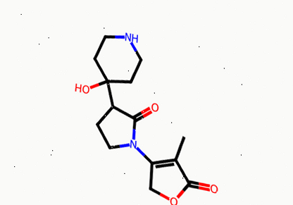 CC1=C(N2CCC(C3(O)CCNCC3)C2=O)COC1=O